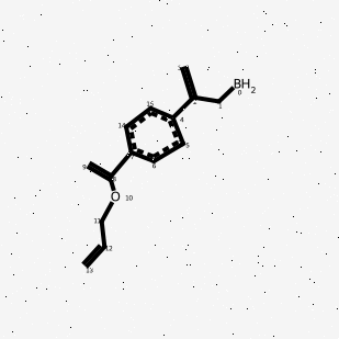 BCC(=C)c1ccc(C(=C)OCC=C)cc1